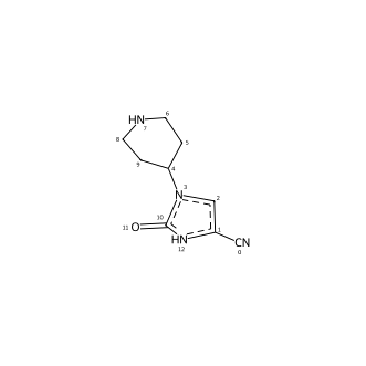 N#Cc1cn(C2CCNCC2)c(=O)[nH]1